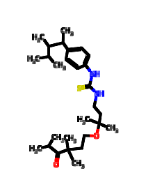 CC(C)C(=O)C(C)(C)CCOC(C)(C)CCNC(=S)Nc1ccc(C(C)C(C)C(C)C)cc1